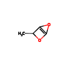 CC1OC2=C1O2